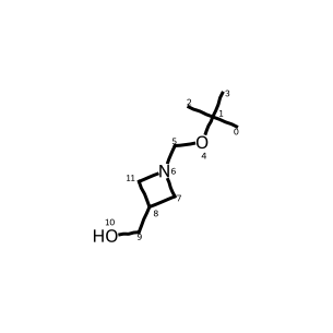 CC(C)(C)OCN1CC(CO)C1